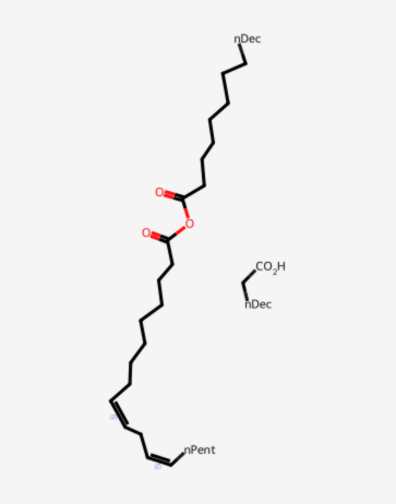 CCCCC/C=C\C/C=C\CCCCCCCC(=O)OC(=O)CCCCCCCCCCCCCCCCC.CCCCCCCCCCCC(=O)O